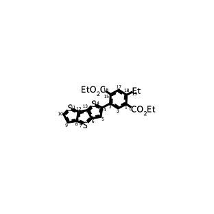 CCOC(=O)c1cc(-c2cc3sc4ccsc4c3s2)c(C(=O)OCC)cc1CC